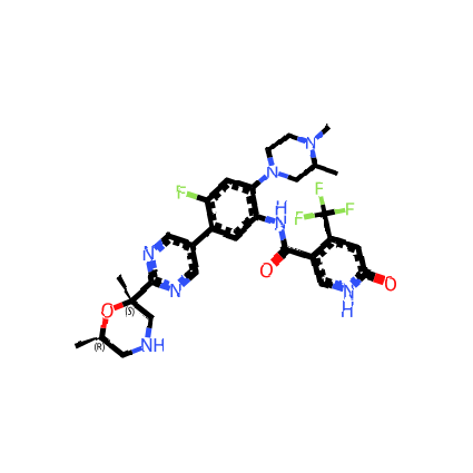 CC1CN(c2cc(F)c(-c3cnc([C@]4(C)CNC[C@@H](C)O4)nc3)cc2NC(=O)c2c[nH]c(=O)cc2C(F)(F)F)CCN1C